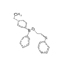 CCc1ccc(B(OC/C=N\c2ccccc2)c2ccccc2)cc1